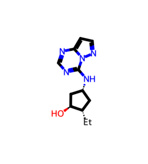 CC[C@H]1C[C@@H](Nc2ncnc3ccnn23)C[C@@H]1O